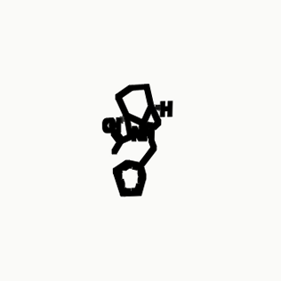 CC(=O)N[C@]1(C)[C@@H]2CCC[C@H]1CN(Cc1ccccc1)C2